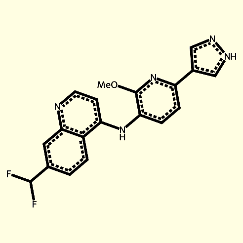 COc1nc(-c2cn[nH]c2)ccc1Nc1ccnc2cc(C(F)F)ccc12